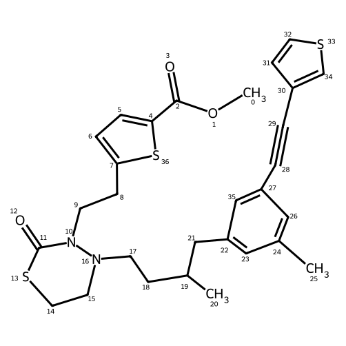 COC(=O)c1ccc(CCN2C(=O)SCCN2CCC(C)Cc2cc(C)cc(C#Cc3ccsc3)c2)s1